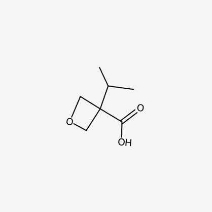 CC(C)C1(C(=O)O)COC1